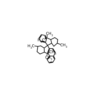 CC1CCC(C(C)C)C(C(c2ccccc2)(c2ccc3ccccc3c2)C2CC(C)CCC2C(C)C)C1